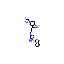 c1ccc2c(c1)CC[C@H]2NC1CCN(CCCc2c[nH]c3ccc(-n4cnnc4)cc23)CC1